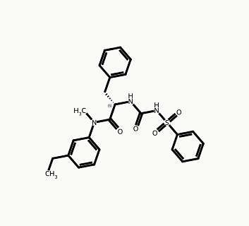 CCc1cccc(N(C)C(=O)[C@H](Cc2ccccc2)NC(=O)NS(=O)(=O)c2ccccc2)c1